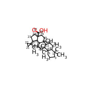 CC1(C)CCCC2(C)C1CCC1(C)C2CCC2C3C(C4(C)CC4)CCC3(C(=O)O)CCC21C